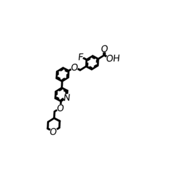 O=C(O)c1ccc(COc2cccc(-c3ccc(OCC4CCOCC4)nc3)c2)c(F)c1